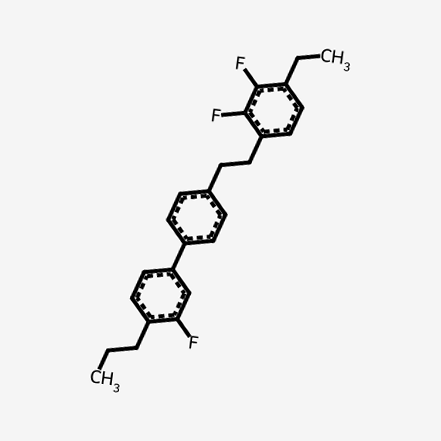 CCCc1ccc(-c2ccc(CCc3ccc(CC)c(F)c3F)cc2)cc1F